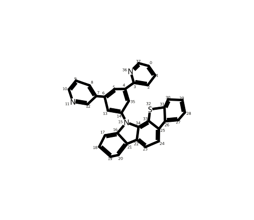 c1ccc(-c2cc(-c3cccnc3)cc(-n3c4ccccc4c4ccc5c6ccccc6sc5c43)c2)nc1